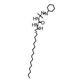 CCCCCCCCCCCCCCCSNNC(=O)NC(C)(C)N=NC1CCCCC1